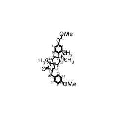 COCOc1ccc([C@]2(N(C)C)CC[C@@]3(CC2)CN(Cc2ccc(OC)cc2)C(=O)N3C)cc1